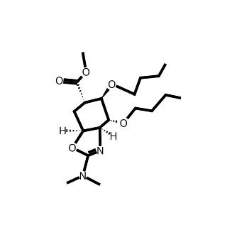 CCCCO[C@@H]1[C@H]2N=C(N(C)C)O[C@H]2C[C@H](C(=O)OC)[C@H]1OCCCC